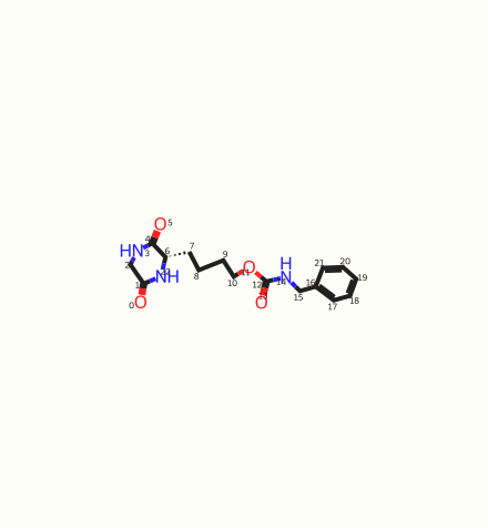 O=C1CNC(=O)[C@H](CCCCOC(=O)NCc2ccccc2)N1